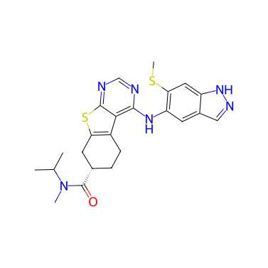 CSc1cc2[nH]ncc2cc1Nc1ncnc2sc3c(c12)CC[C@H](C(=O)N(C)C(C)C)C3